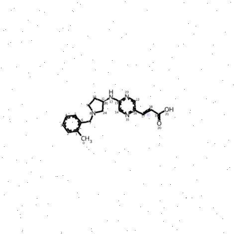 Cc1ccccc1CN1CC[C@@H](Nc2cnc(/C=C/C(=O)O)cn2)C1